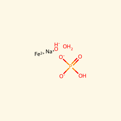 O.O=P([O-])([O-])O.[Fe+2].[Na+].[OH-]